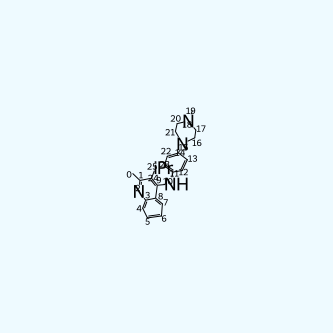 Cc1nc2ccccc2c(Nc2ccc(N3CCN(C)CC3)cc2)c1C(C)C